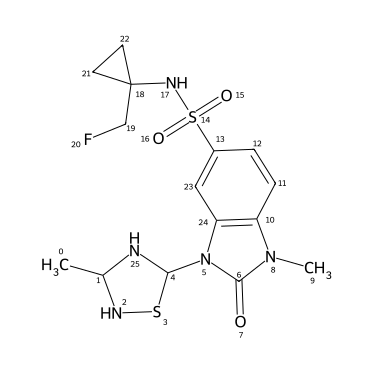 CC1NSC(n2c(=O)n(C)c3ccc(S(=O)(=O)NC4(CF)CC4)cc32)N1